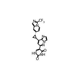 O=c1[nH]cc(-c2cc(C3C[C@@H]3c3ccn4c(C(F)(F)F)ncc4c3)c3nccn3n2)c(=O)[nH]1